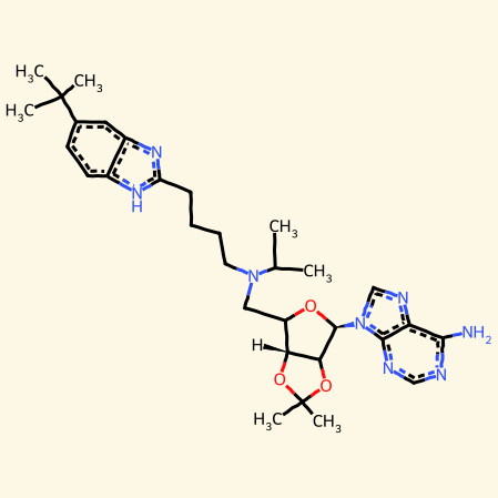 CC(C)N(CCCCc1nc2cc(C(C)(C)C)ccc2[nH]1)CC1O[C@@H](n2cnc3c(N)ncnc32)C2OC(C)(C)O[C@H]12